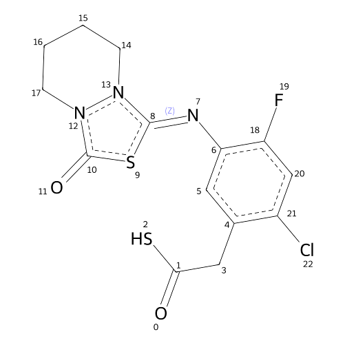 O=C(S)Cc1cc(/N=c2\sc(=O)n3n2CCCC3)c(F)cc1Cl